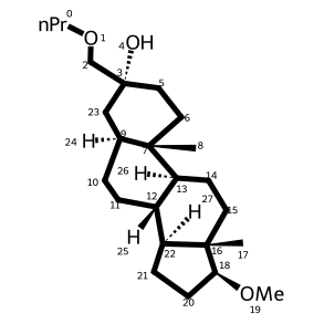 CCCOC[C@@]1(O)CC[C@@]2(C)[C@@H](CC[C@@H]3[C@@H]2CC[C@]2(C)[C@@H](OC)CC[C@@H]32)C1